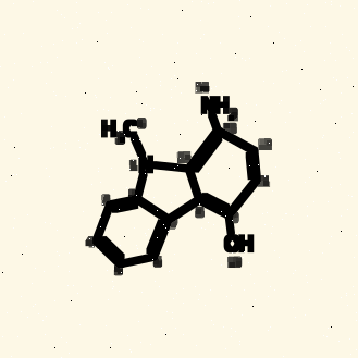 Cn1c2ccccc2c2c(O)ccc(N)c21